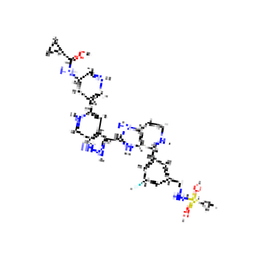 CS(=O)(=O)NCc1cc(F)cc(-c2nccc3[nH]c(-c4n[nH]c5cnc(-c6cncc(NC(=O)C7CC7)c6)cc45)nc23)c1